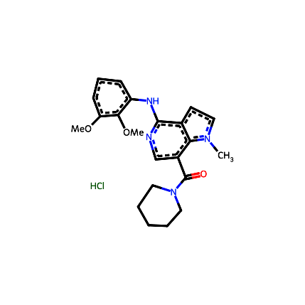 COc1cccc(Nc2ncc(C(=O)N3CCCCC3)c3c2ccn3C)c1OC.Cl